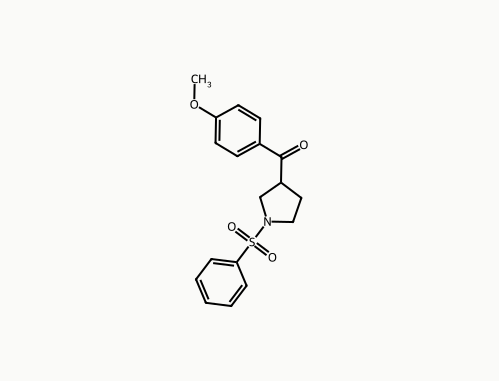 COc1ccc(C(=O)C2CCN(S(=O)(=O)c3ccccc3)C2)cc1